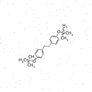 C[Si](C)(C)Oc1ccc(CCc2ccc(O[Si](C)(C)C)cc2)cc1